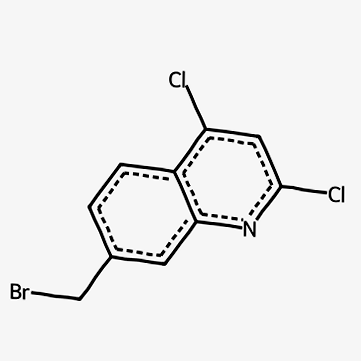 Clc1cc(Cl)c2ccc(CBr)cc2n1